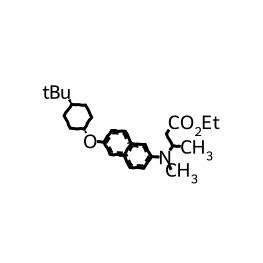 CCOC(=O)CC(C)N(C)c1ccc2cc(O[C@H]3CC[C@H](C(C)(C)C)CC3)ccc2c1